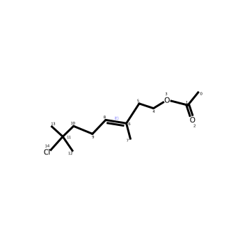 CC(=O)OCC/C(C)=C/CCC(C)(C)Cl